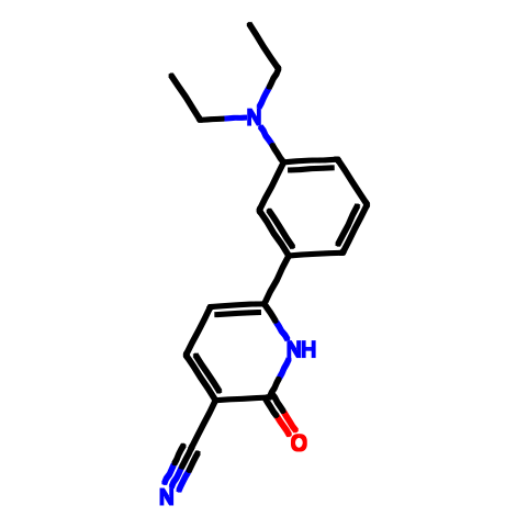 CCN(CC)c1cccc(-c2ccc(C#N)c(=O)[nH]2)c1